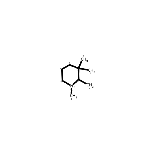 CC1N(C)CCCC1(C)C